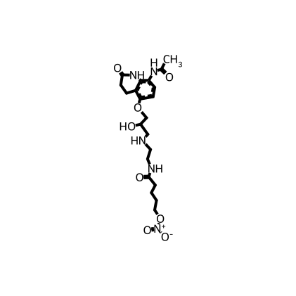 CC(=O)Nc1ccc(OCC(O)CNCCNC(=O)CCCCO[N+](=O)[O-])c2c1NC(=O)CC2